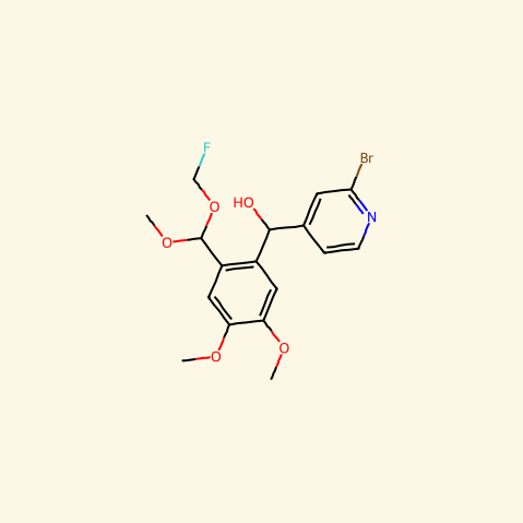 COc1cc(C(OC)OCF)c(C(O)c2ccnc(Br)c2)cc1OC